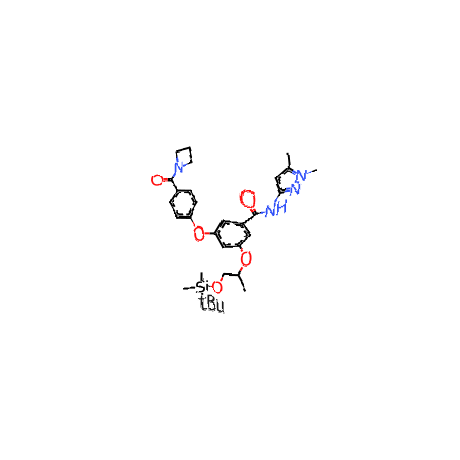 Cc1cc(NC(=O)c2cc(Oc3ccc(C(=O)N4CCC4)cc3)cc(OC(C)CO[Si](C)(C)C(C)(C)C)c2)nn1C